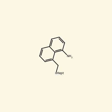 CCCCCCCCc1cccc2cccc(N)c12